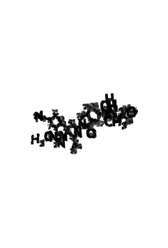 Cn1cnnc1-c1cc(C#N)ccc1-c1cc(C2CC2)nc(N2Cc3ccc(C(C)(C)NCC4COC4)cc3C2=O)c1